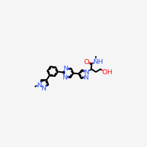 CNC(=O)C(CCO)n1cc(-c2cnc(-c3cccc(-c4cnn(C)c4)c3)nc2)cn1